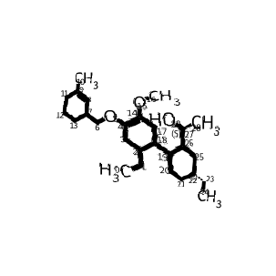 CCC1CC(OCC2C=C(C)CCC2)=C(OC)CC1C1CC[C@@H](CC)CC1[C@H](C)O